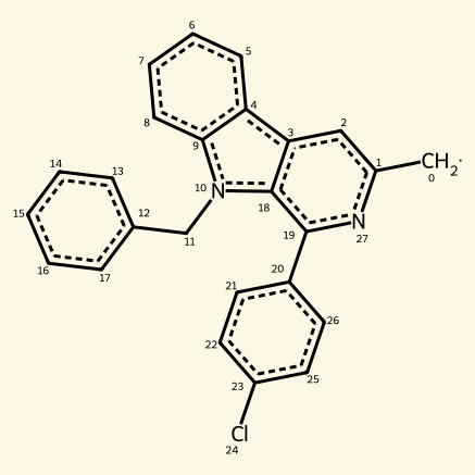 [CH2]c1cc2c3ccccc3n(Cc3ccccc3)c2c(-c2ccc(Cl)cc2)n1